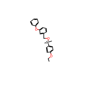 CCOc1ccc([Si](C)(C)OCc2cccc(Oc3ccccc3)c2)cc1